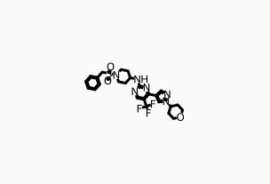 O=S(=O)(Cc1ccccc1)N1CCC(Nc2ncc(C(F)(F)F)c(-c3cnn(C4CCOCC4)c3)n2)CC1